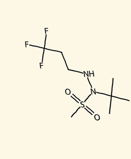 CC(C)(C)N(NCCC(F)(F)F)S(C)(=O)=O